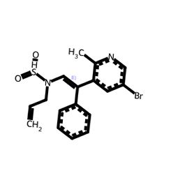 C=CCN(/C=C(\c1ccccc1)c1cc(Br)cnc1C)[SH](=O)=O